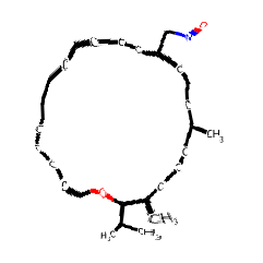 CC1CCCC(CN=O)CCCCCCCCCCCCOC(C(C)C)C(C)CCC1